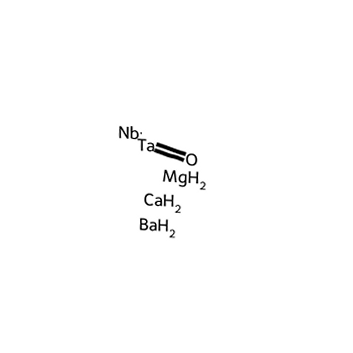 [BaH2].[CaH2].[MgH2].[Nb].[O]=[Ta]